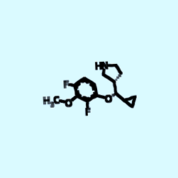 COc1c(F)ccc(O[C@@H](C2CC2)[C@H]2CCNC2)c1F